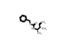 [CH2][C@@H](NC(=O)OCc1ccccc1)[C@@H](C)C=C